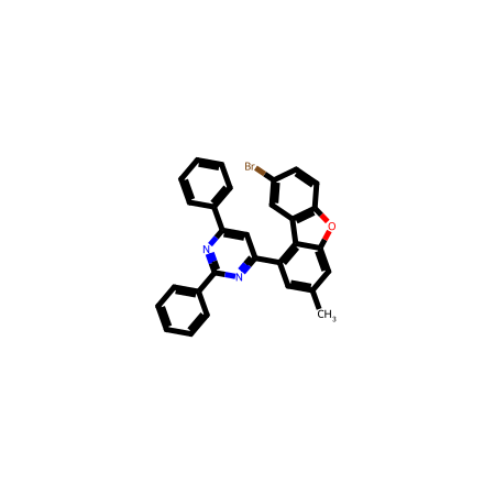 Cc1cc(-c2cc(-c3ccccc3)nc(-c3ccccc3)n2)c2c(c1)oc1ccc(Br)cc12